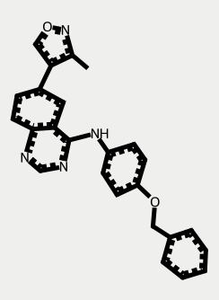 Cc1nocc1-c1ccc2ncnc(Nc3ccc(OCc4ccccc4)cc3)c2c1